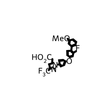 COc1ccc(F)c(-c2ccc(Oc3ccc(N4N=C(C(F)(F)F)CC4CC(=O)O)cc3)cc2C)c1